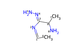 C/C=N\C(=N/N)C(C)N